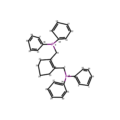 c1ccc(P(CC2=C(CP(c3ccccc3)c3ccccc3)CCCC2)c2ccccc2)cc1